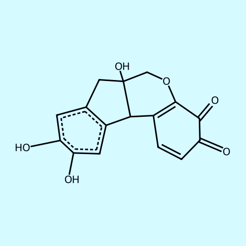 O=C1C=CC2=C(OCC3(O)Cc4cc(O)c(O)cc4C23)C1=O